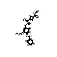 COc1cc(CNC(=O)C2CN(C(=O)OC(C)(C)C)C2)ccc1OCc1ccccc1